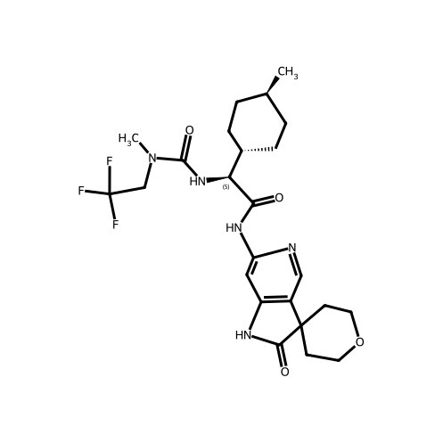 CN(CC(F)(F)F)C(=O)N[C@H](C(=O)Nc1cc2c(cn1)C1(CCOCC1)C(=O)N2)[C@H]1CC[C@H](C)CC1